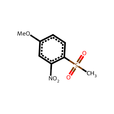 COc1ccc(S(C)(=O)=O)c([N+](=O)[O-])c1